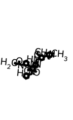 C=CC(=O)Nc1cccc(-n2c(=O)n(Cc3ccccc3)c(=O)c3cnc(Nc4ccc(N5CCN(C)CC5)cc4OC)nc32)c1